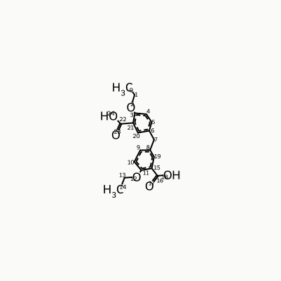 CCOc1ccc(Cc2ccc(OCC)c(C(=O)O)c2)cc1C(=O)O